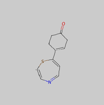 O=C1CC=C(C2=CC=NC=[C]S2)CC1